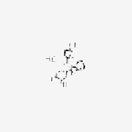 CC(c1ccc(Cl)cn1)n1c(N2CC[C@@H](F)[C@H](N)C2)nc2ccccc21.Cl